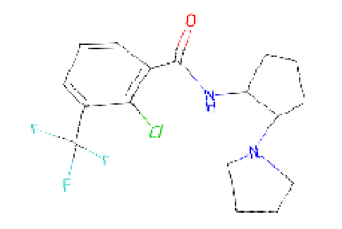 O=C(NC1CCCC1N1CCCC1)c1cccc(C(F)(F)F)c1Cl